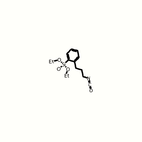 CCO[Si]([O])(OCC)c1ccccc1CCCN=C=O